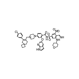 N=Cc1c(NC2CCOCC2)cc(S(=O)(=O)NC(=O)c2ccc(N3CCN(CC4=C(c5ccc(Cl)cc5)CC5(CCC5)CC4)CC3)cc2Oc2cnc3[nH]ccc3c2)cc1[N+](=O)[O-]